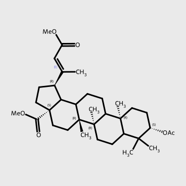 COC(=O)/C=C(\C)[C@@H]1CC[C@]2(C(=O)OC)CC[C@]3(C)C(CCC4[C@@]5(C)CC[C@H](OC(C)=O)C(C)(C)C5CC[C@]43C)C12